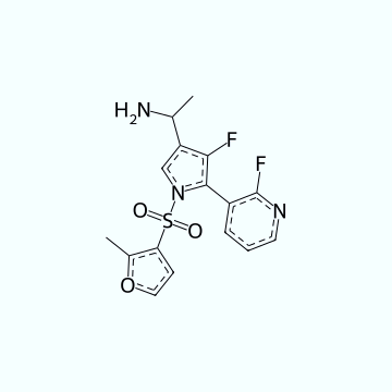 Cc1occc1S(=O)(=O)n1cc(C(C)N)c(F)c1-c1cccnc1F